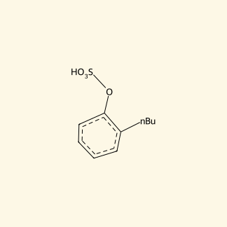 CCCCc1ccccc1OS(=O)(=O)O